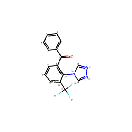 O=C(c1ccccc1)c1cccc(C(F)(F)F)c1-n1cnnc1